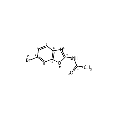 CC(=O)Nc1nc2ccc(Br)cc2o1